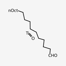 CCCCCCCCCCCCCCCCCC=O.[O]=[Ti]